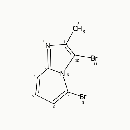 Cc1nc2cccc(Br)n2c1Br